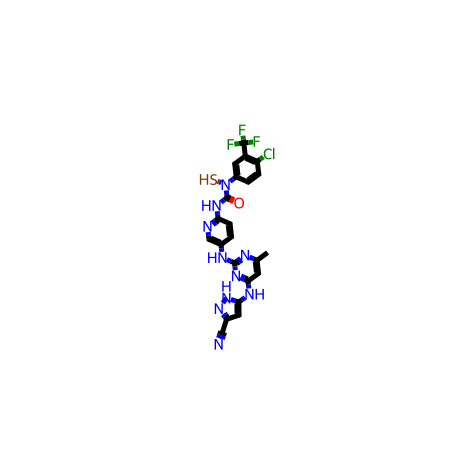 Cc1cc(Nc2cc(C#N)n[nH]2)nc(Nc2ccc(NC(=O)N(S)c3ccc(Cl)c(C(F)(F)F)c3)nc2)n1